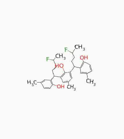 Cc1ccc(O)c(C(CCC(C)F)c2cc(C)cc(C(CCC(C)F)c3cc(C)ccc3O)c2O)c1